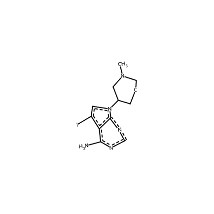 CN1CCCC(n2cc(I)c3c(N)ncnc32)C1